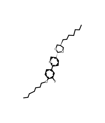 CCCCCCCOc1ccc(-c2ccc([C@H]3OC[C@H](CCCCCCC)CO3)cn2)cc1F